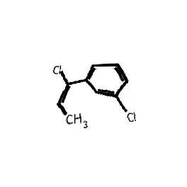 C/C=C(/Cl)c1cccc(Cl)c1